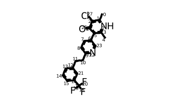 Cc1[nH]c(C)c(-c2ccc(CCc3cccc(C(F)(F)F)c3)nc2)c(=O)c1Cl